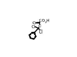 O=C(O)C(=O)OC(Cl)(Cl)c1ccccc1